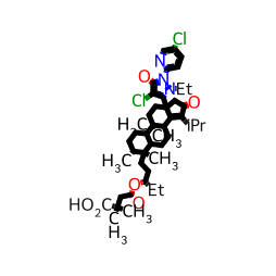 CCC(CCC1(C)C(C)CCC2(C)C1CCC1C3=C(C(C)C)C(=O)CC3(c3c(Cl)c(=O)n(-c4ccc(Cl)cn4)n3CC)CC[C@]12C)OC(=O)CC(C)(C)C(=O)O